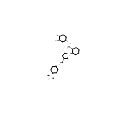 Cc1cc(C(=O)Nc2ccc(S(C)(=O)=O)cc2)c(C)n1-c1ccccc1C(=O)Nc1ccc2c(c1)COC2